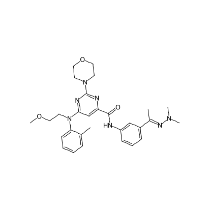 COCCN(c1cc(C(=O)Nc2cccc(/C(C)=N/N(C)C)c2)nc(N2CCOCC2)n1)c1ccccc1C